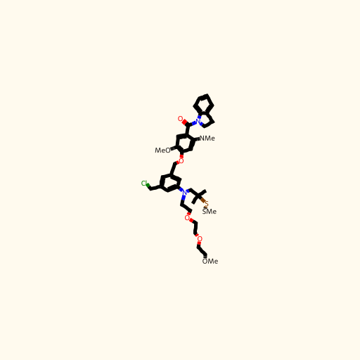 CNc1cc(OCc2cc(CCl)cc(N(CCOCCOCCOC)CC(C)(C)SSC)c2)c(OC)cc1C(=O)N1CCc2ccccc21